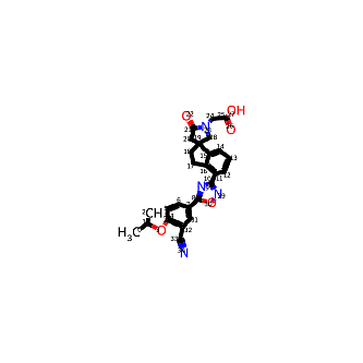 CC(C)Oc1ccc(-c2nc(-c3cccc4c3CCC43CC(=O)N(CC(=O)O)C3)no2)cc1C#N